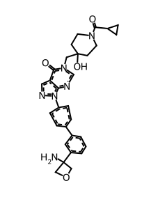 NC1(c2cccc(-c3ccc(-n4ncc5c(=O)n(CC6(O)CCN(C(=O)C7CC7)CC6)cnc54)cc3)c2)COC1